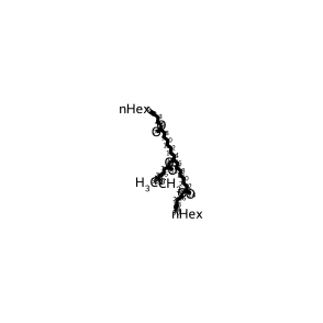 CCCCCCC#CCCOC(=O)CCCCCCCC(CCCCCCCC(=O)OCCC#CCCCCCC)OC(=O)CCCN(C)C